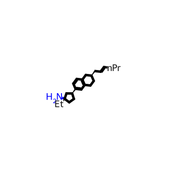 CCC/C=C/C[C@H]1CCc2cc([C@H]3CC[C@](N)(CC)C3)ccc2C1